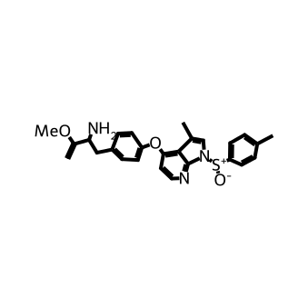 C=C(OC)C(N)Cc1ccc(Oc2ccnc3c2c(C)cn3[S+]([O-])c2ccc(C)cc2)cc1